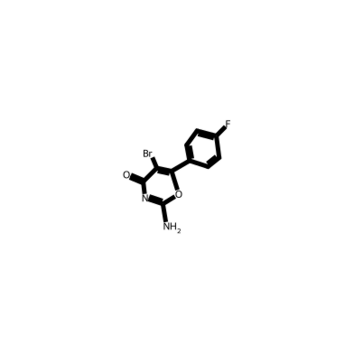 Nc1nc(=O)c(Br)c(-c2ccc(F)cc2)o1